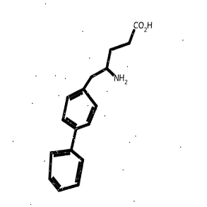 NC(CCC(=O)O)Cc1ccc(-c2ccccc2)cc1